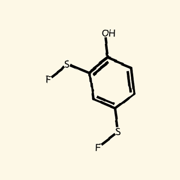 Oc1ccc(SF)cc1SF